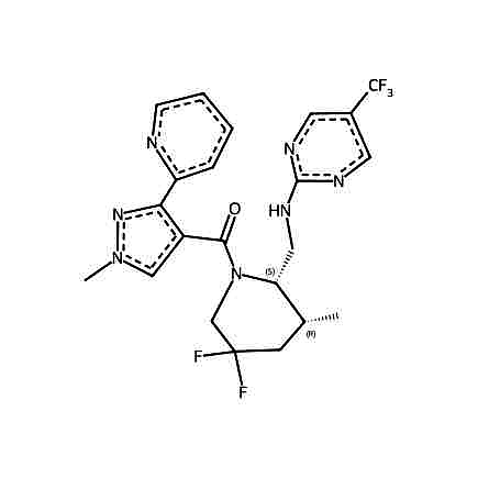 C[C@@H]1CC(F)(F)CN(C(=O)c2cn(C)nc2-c2ccccn2)[C@@H]1CNc1ncc(C(F)(F)F)cn1